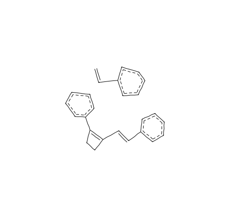 C(=Cc1ccccc1)C1=C(c2ccccc2)CC1.C=Cc1ccccc1